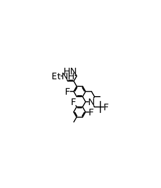 CCN/C=C(\C=N)c1cc2c(cc1F)C(c1c(F)cc(C)cc1F)N(CC(C)(C)F)C(C)C2